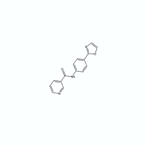 O=C(Nc1ccc(-c2ncco2)cc1)c1cccnc1